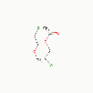 CC(=O)OCCBr.COCCBr